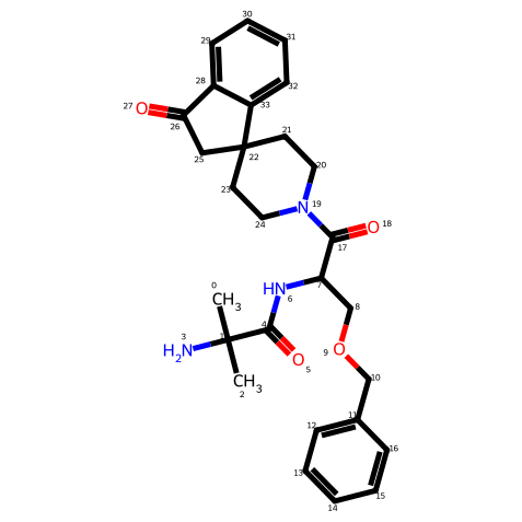 CC(C)(N)C(=O)NC(COCc1ccccc1)C(=O)N1CCC2(CC1)CC(=O)c1ccccc12